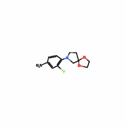 O=[N+]([O-])c1ccc(N2CCC3(C2)OCCO3)c(F)c1